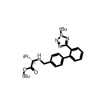 CC(C)[C@H](NCc1ccc(-c2ccccc2-c2nnn(C(C)(C)C)n2)cc1)C(=O)OC(C)(C)C